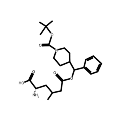 CC(CC(=O)OC(c1ccccc1)C1CCN(C(=O)OC(C)(C)C)CC1)C[C@H](N)C(=O)O